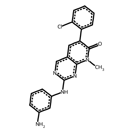 Cn1c(=O)c(-c2ccccc2Cl)cc2cnc(Nc3cccc(N)c3)nc21